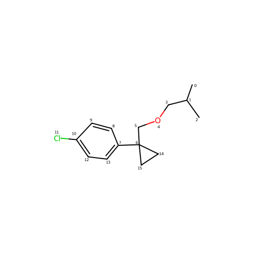 CC(C)COCC1(c2ccc(Cl)cc2)CC1